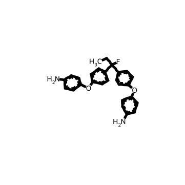 CCC(F)(c1ccc(Oc2ccc(N)cc2)cc1)c1ccc(Oc2ccc(N)cc2)cc1